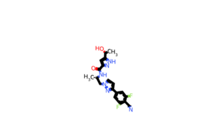 CC(O)c1cc(C(=O)N[C@@H](C)Cn2ccc(-c3cc(F)c(C#N)c(F)c3)n2)n[nH]1